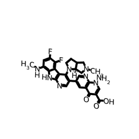 CNc1cc(F)c(F)c2c1[nH]c1ncc(-c3cnc4c(c3)c(=O)c(C(=O)O)cn4N)c(N3CCC4CN(C)C[C@H]43)c12